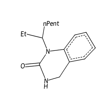 CCCCCC(CC)N1C(=O)NCc2ccccc21